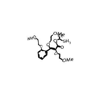 CCC([SiH3])OC(=O)C(OCCOC)=C(OCCOC)c1ccccc1OCCOC